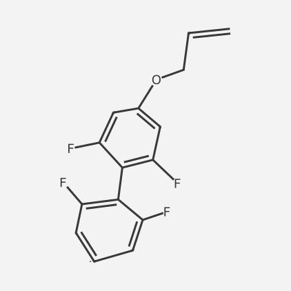 C=CCOc1cc(F)c(-c2c(F)c[c]cc2F)c(F)c1